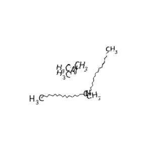 CCCCCCCCCCCCCCCCCCN(C)CCCCCCCCCCCCCCCCCC.C[CH2][Al]([CH2]C)[CH2]C